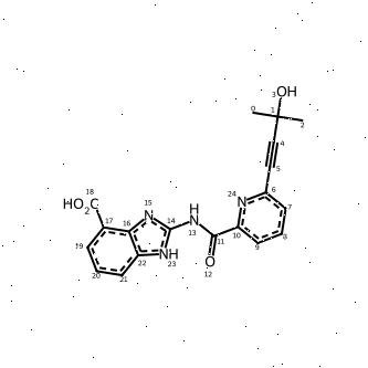 CC(C)(O)C#Cc1cccc(C(=O)Nc2nc3c(C(=O)O)cccc3[nH]2)n1